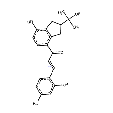 CC(C)(O)C1Cc2c(O)ccc(C(=O)/C=C/c3ccc(O)cc3O)c2C1